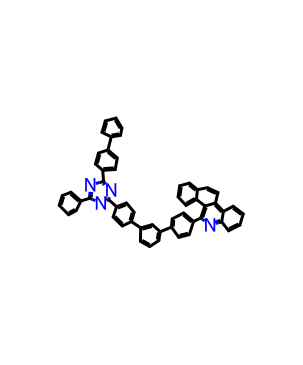 c1ccc(-c2ccc(-c3nc(-c4ccccc4)nc(-c4ccc(-c5cccc(-c6ccc(-c7nc8ccccc8c8ccc9ccccc9c78)cc6)c5)cc4)n3)cc2)cc1